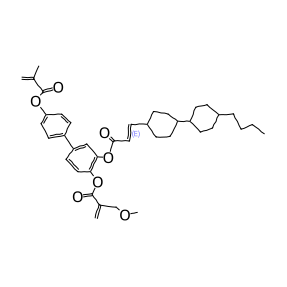 C=C(C)C(=O)Oc1ccc(-c2ccc(OC(=O)C(=C)COC)c(OC(=O)/C=C/C3CCC(C4CCC(CCCC)CC4)CC3)c2)cc1